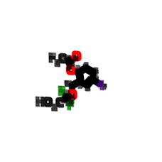 O=C(Oc1ccc(I)cc1COC(F)(F)C(=O)O)C(F)(F)F